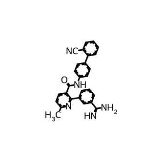 Cc1ccc(C(=O)Nc2ccc(-c3ccccc3C#N)cc2)c(-c2cccc(C(=N)N)c2)n1